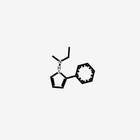 CCN(C)[SH]1C=CC=C1c1ccccc1